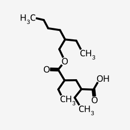 CCCCC(CC)COC(=O)C(CC)CC(CC)C(=O)O